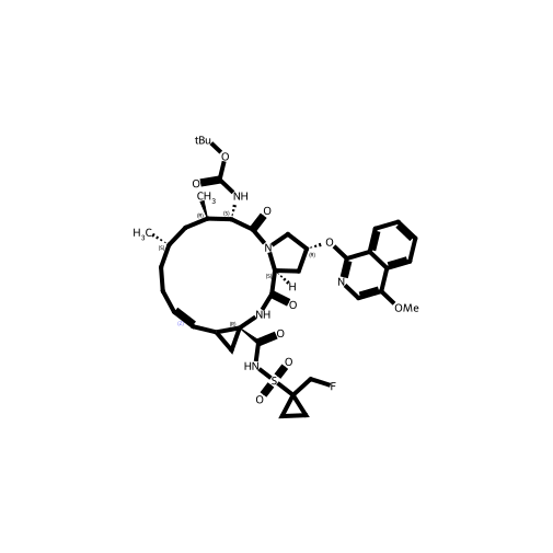 COc1cnc(O[C@@H]2C[C@H]3C(=O)N[C@]4(C(=O)NS(=O)(=O)C5(CF)CC5)CC4/C=C\CC[C@H](C)C[C@@H](C)[C@H](NC(=O)OC(C)(C)C)C(=O)N3C2)c2ccccc12